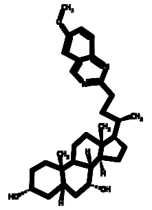 COc1ccc2nc(CC[C@@H](C)[C@H]3CC[C@H]4[C@H]5C(CC[C@]34C)[C@@]3(C)CC[C@@H](O)C[C@H]3C[C@H]5O)ncc2c1